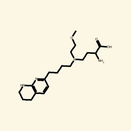 COCCN(CCCCc1ccc2c(n1)NCCC2)CCC(N)C(=O)O